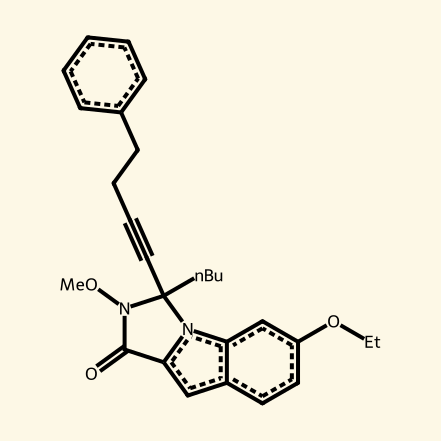 CCCCC1(C#CCCc2ccccc2)N(OC)C(=O)c2cc3ccc(OCC)cc3n21